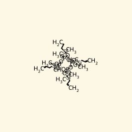 C=CC[Si](C)(C)OP1(=O)OP(=O)(O[Si](C)(C)CC=C)OP(=O)(O[Si](C)(C)CC=C)OP(=O)(O[Si](C)(C)CC=C)O1